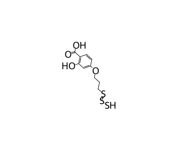 O=C(O)c1ccc(OCCCSSS)cc1O